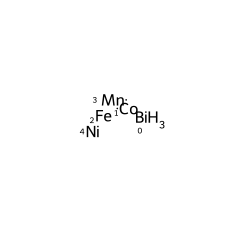 [BiH3].[Co].[Fe].[Mn].[Ni]